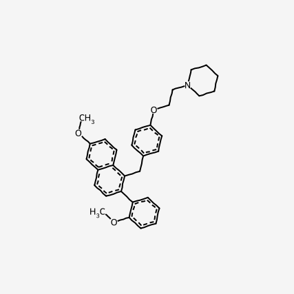 COc1ccc2c(Cc3ccc(OCCN4CCCCC4)cc3)c(-c3ccccc3OC)ccc2c1